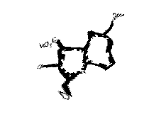 COc1ccc2nc(Cl)c(Cl)c(C(=O)O)c2c1